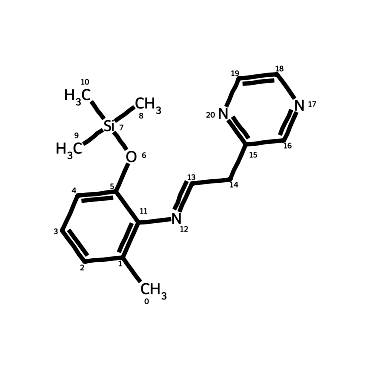 Cc1cccc(O[Si](C)(C)C)c1N=CCc1cnccn1